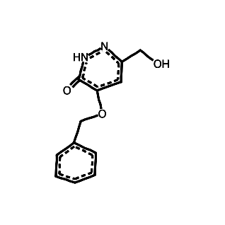 O=c1[nH]nc(CO)cc1OCc1ccccc1